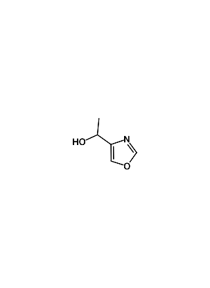 CC(O)c1cocn1